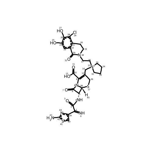 N=C(C(=O)N[C@@H]1C(=O)N2C(C(=O)O)=C(C[N+]3(CCN4CCc5c(cc(O)c(O)c5Cl)C4=O)CCCC3)CS[C@H]12)c1csc(N)n1